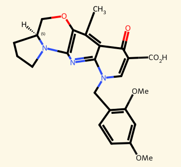 COc1ccc(Cn2cc(C(=O)O)c(=O)c3c(C)c4c(nc32)N2CCC[C@H]2CO4)c(OC)c1